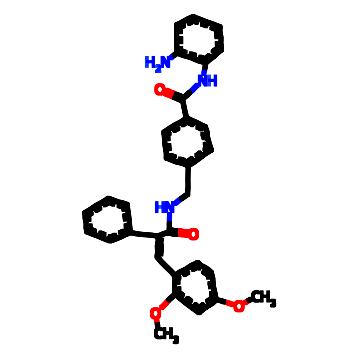 COc1ccc(C=C(C(=O)NCc2ccc(C(=O)Nc3ccccc3N)cc2)c2ccccc2)c(OC)c1